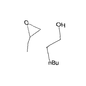 CC1CO1.CCCCCCO